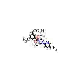 CC1CN(c2ccc(C(F)(F)F)cn2)CC(C)N1S(=O)(=O)c1cc(CC(=O)O)cc(C(F)(F)F)c1